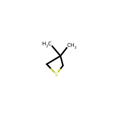 [CH2]C1(C)CSC1